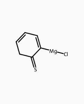 S=C1CC=CC=[C]1[Mg][Cl]